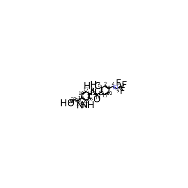 Cc1cc(/C=C/C(F)(F)F)ccc1C(=O)Nc1ccc2c(CO)n[nH]c2c1